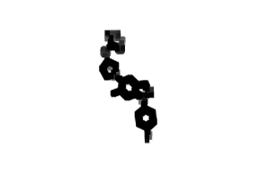 Cc1cc2c(cnn2-c2ccc(F)cc2)cc1N1CC[C@H](OC(N)=O)C1